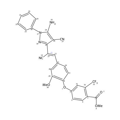 COC(=O)c1ccc(Oc2ccc(/C=C(\C#N)c3nn(-c4ccccc4)c(N)c3C#N)cc2OC)cc1C(F)(F)F